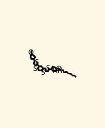 CCCCCCCCNOc1ccc(-c2cc3sc4cc5sc6cc(-c7ccc(OC)cc7)sc6c5cc4c3s2)cc1